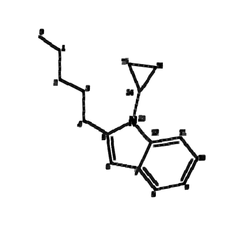 CCCCCc1cc2ccccc2n1C1CC1